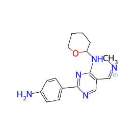 C/N=C\c1cnc(-c2ccc(N)cc2)nc1NC1CCCCO1